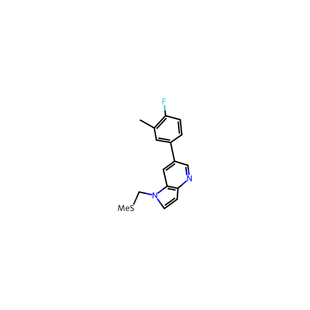 CSCn1ccc2ncc(-c3ccc(F)c(C)c3)cc21